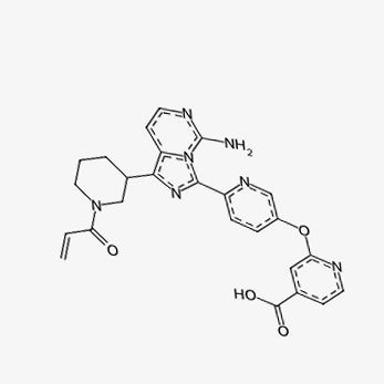 C=CC(=O)N1CCCC(c2nc(-c3ccc(Oc4cc(C(=O)O)ccn4)cn3)n3c(N)nccc23)C1